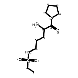 CCS(=O)(=O)NCCCC(N)C(=O)N1CCCC1